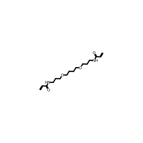 C=CC(=O)NCCCOCCCCOCCCNC(=O)C=C